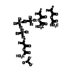 CC[N+](CC)(CC)CC.CC[N+](CC)(CC)CC.CC[N+](CC)(CC)CC.O=C(O)C(=O)OC(=O)C(F)F.O=C(O)C(=O)OC(=O)C(F)F.O=C(O)C(=O)OC(=O)C(F)F.[O-]B([O-])[O-]